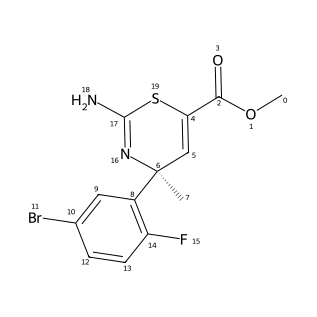 COC(=O)C1=C[C@@](C)(c2cc(Br)ccc2F)N=C(N)S1